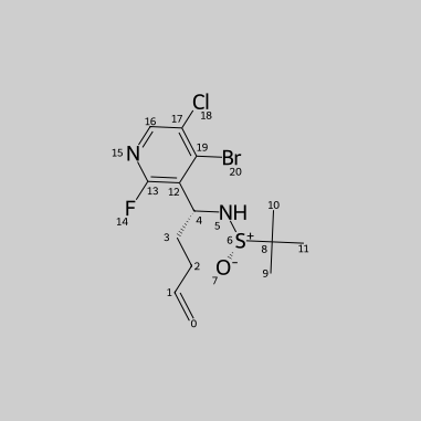 C=CCC[C@@H](N[S@@+]([O-])C(C)(C)C)c1c(F)ncc(Cl)c1Br